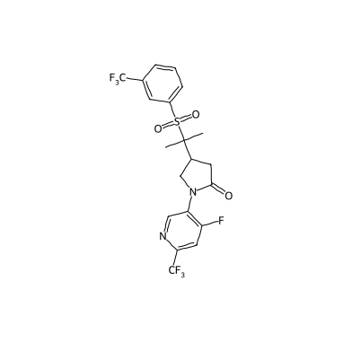 CC(C)(C1CC(=O)N(c2cnc(C(F)(F)F)cc2F)C1)S(=O)(=O)c1cccc(C(F)(F)F)c1